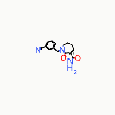 N#Cc1cccc(CN2CCCC[C@@H](C(N)=O)C2=O)c1